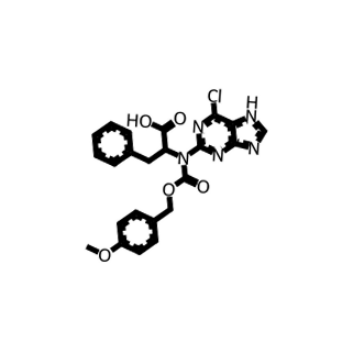 COc1ccc(COC(=O)N(c2nc(Cl)c3[nH]cnc3n2)C(Cc2ccccc2)C(=O)O)cc1